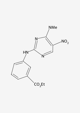 CCOC(=O)c1cccc(Nc2ncc([N+](=O)[O-])c(NC)n2)c1